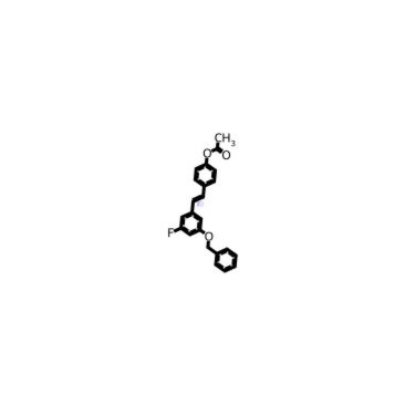 CC(=O)Oc1ccc(/C=C/c2cc(F)cc(OCc3ccccc3)c2)cc1